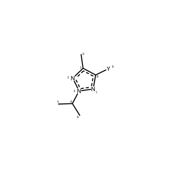 Cc1nn(C(C)C)n[c]1[Y]